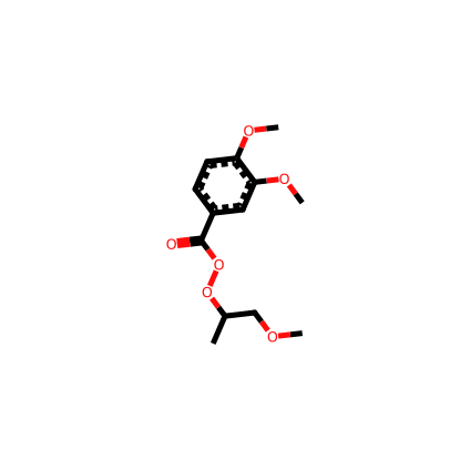 COC[C](C)OOC(=O)c1ccc(OC)c(OC)c1